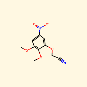 COc1cc([N+](=O)[O-])cc(OCC#N)c1OC